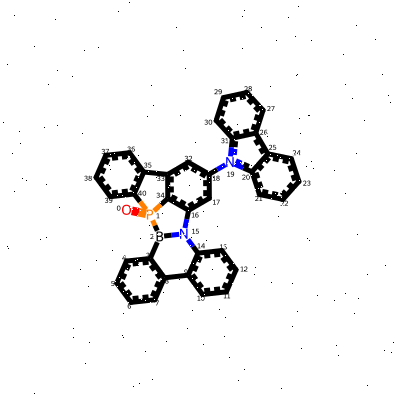 O=P12B3c4ccccc4-c4ccccc4N3c3cc(-n4c5ccccc5c5ccccc54)cc(c31)-c1ccccc12